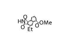 CCc1cc2c(C(=O)OC)cccc2c2c1C(=O)NC2=O